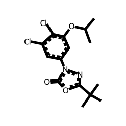 CC(C)Oc1cc(-n2nc(C(C)(C)C)oc2=O)cc(Cl)c1Cl